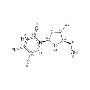 O=c1[nH]c(=O)n([C@H]2CC(F)[C@@H](CO)O2)cc1Cl